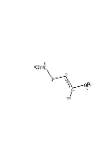 CCC/C(C)=C/CC=O